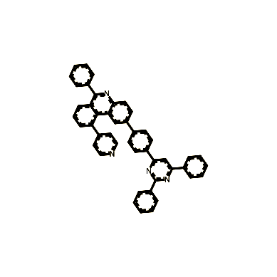 c1ccc(-c2cc(-c3ccc(-c4ccc5nc(-c6ccccc6)c6cccc(-c7ccncc7)c6c5c4)cc3)nc(-c3ccccc3)n2)cc1